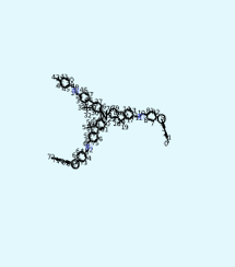 CC#CC#COc1ccc(/C=C/c2ccc3c(c2)C(C)(C)c2cc(N(c4ccc5c(c4)C(C)(C)c4cc(/C=C/c6ccc(C)cc6)ccc4-5)c4ccc5c(c4)C(C)(C)c4cc(/C=C/c6ccc(OC#CC#CC)cc6)ccc4-5)ccc2-3)cc1